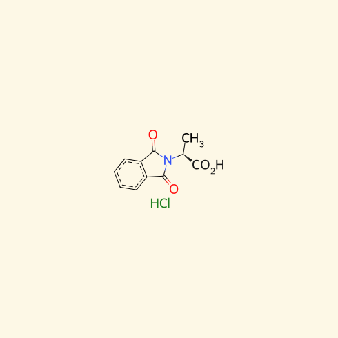 C[C@@H](C(=O)O)N1C(=O)c2ccccc2C1=O.Cl